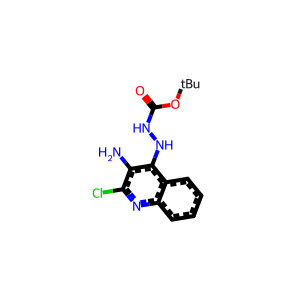 CC(C)(C)OC(=O)NNc1c(N)c(Cl)nc2ccccc12